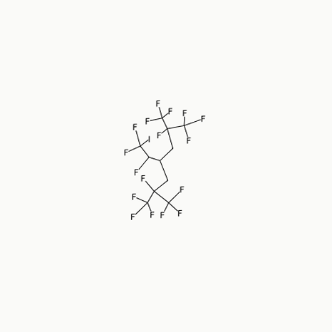 FC(C(CC(F)(C(F)(F)F)C(F)(F)F)CC(F)(C(F)(F)F)C(F)(F)F)C(F)(F)I